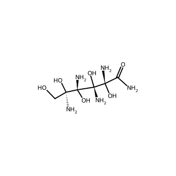 NC(=O)[C@](N)(O)[C@@](N)(O)[C@](N)(O)[C@](N)(O)CO